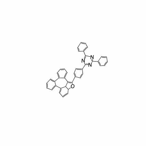 C1=CC2OC(c3ccc(-c4nc(-c5ccccc5)nc(-c5ccccc5)n4)cc3)=C3c4ccccc4-c4ccccc4C(=C1)C32